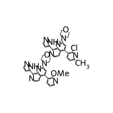 COc1ncccc1-c1cc(N2CCOCC2)nc2c(-c3ccn[nH]3)nccc12.Cc1ccc(-c2cc(N3CCOCC3)nc3c(-c4ccn[nH]4)nccc23)c(Cl)n1